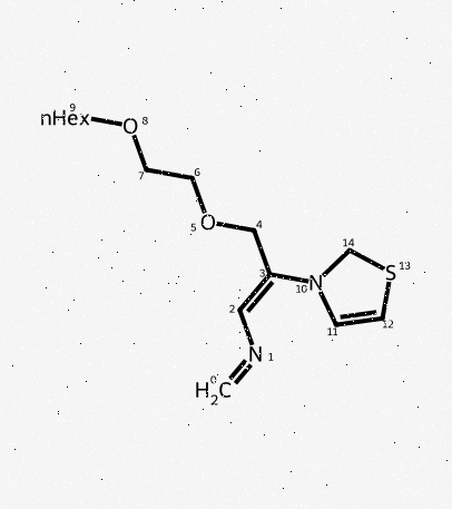 C=N/C=C(/COCCOCCCCCC)N1C=CSC1